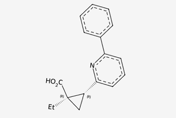 CC[C@@]1(C(=O)O)C[C@H]1c1cccc(-c2ccccc2)n1